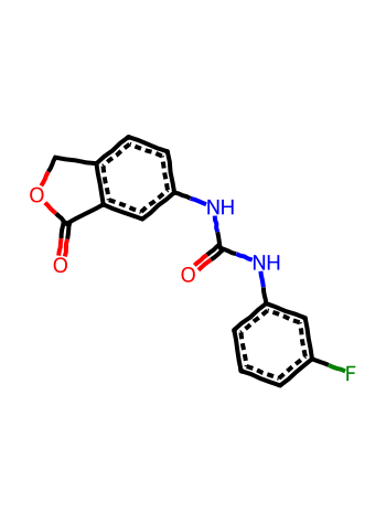 O=C(Nc1cccc(F)c1)Nc1ccc2c(c1)C(=O)OC2